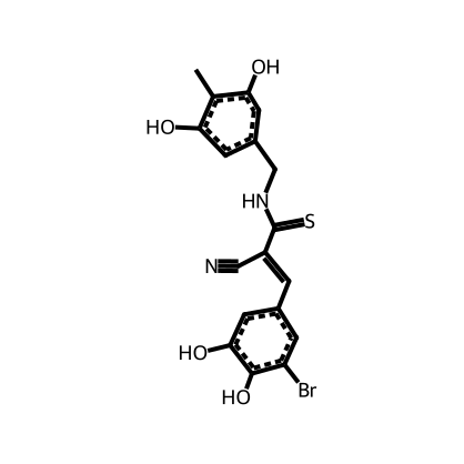 Cc1c(O)cc(CNC(=S)/C(C#N)=C/c2cc(O)c(O)c(Br)c2)cc1O